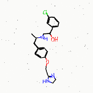 CC(Cc1ccc(OCC2=NCCN2)cc1)NCC(O)c1cccc(Cl)c1